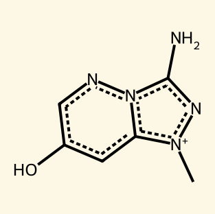 C[n+]1nc(N)n2ncc(O)cc21